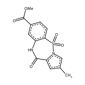 COC(=O)c1ccc2c(c1)NC(=O)c1cc(C)cn1S2(=O)=O